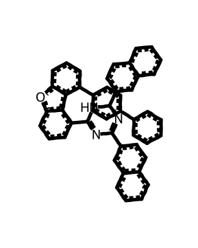 c1ccc(-c2ccc(-c3cccc4oc5cccc(C6=NC(c7ccc8ccccc8c7)=NC(c7ccc8ccccc8c7)N6)c5c34)cc2)cc1